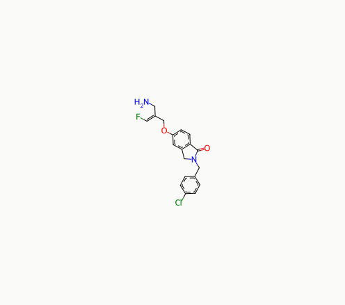 NCC(=CF)COc1ccc2c(c1)CN(Cc1ccc(Cl)cc1)C2=O